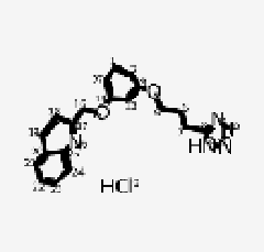 Cl.c1cc(OCCCc2nnn[nH]2)cc(OCc2ccc3ccccc3n2)c1